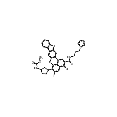 CC(C)(C)OC(=O)NC1CCN(c2c(F)cc3c(=O)c(C(=O)NCCCn4ccnc4)cn4c3c2Oc2cc3c(cc2-4)oc2ccccc23)C1